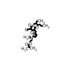 C=C(C)C(=O)OCCN(C)c1ccc(/C=C2/C(=O)N(CC(CC)CCCC)C(=O)C(C#N)=C2C)s1